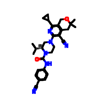 CC(C)[C@@H]1CN(c2nc(C3CC3)c3c(c2C#N)CC(C)(C)OC3)CCN1C(=O)Nc1ccc(C#N)cc1